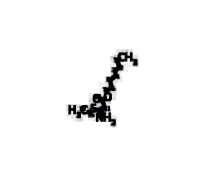 CCCCCCCCOC(=O)/C=C(/N)SCC